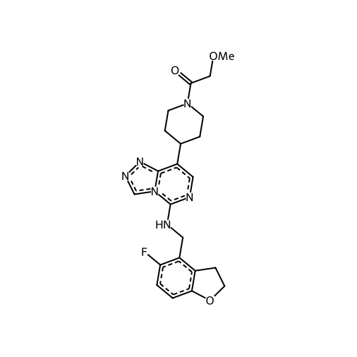 COCC(=O)N1CCC(c2cnc(NCc3c(F)ccc4c3CCO4)n3cnnc23)CC1